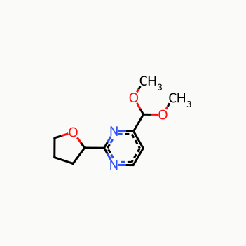 COC(OC)c1ccnc(C2CCCO2)n1